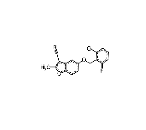 Cc1oc2ccc(OCc3c(F)cccc3Cl)cc2c1C#N